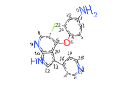 Nc1ccc(Oc2ccnc3[nH]cc(-c4ccncc4)c23)c(F)c1